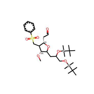 CO[C@H]1C(CC(CO[Si](C)(C)C(C)(C)C)O[Si](C)(C)C(C)(C)C)O[C@@H](CC=O)C1CS(=O)(=O)c1ccccc1